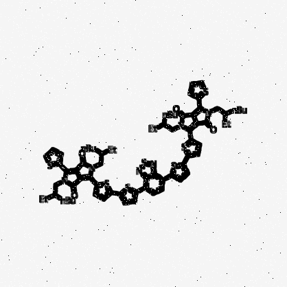 CCCCC(CC)CN1C(=O)C2=C(c3ccc(-c4ccc(-c5ccc(-c6ccc(-c7ccc(C8=C9C(=O)N(CC(CC)CCCC)C(c%10cccs%10)=C9C(=O)N8CC(CC)CCCC)s7)s6)c6nsnc56)s4)s3)N(CC(CC)CCCC)C(=O)C2=C1c1cccs1